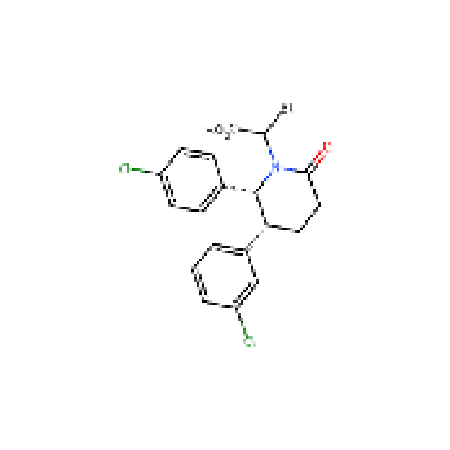 CCC(C(=O)O)N1C(=O)CC[C@H](c2cccc(Cl)c2)[C@@H]1c1ccc(Cl)cc1